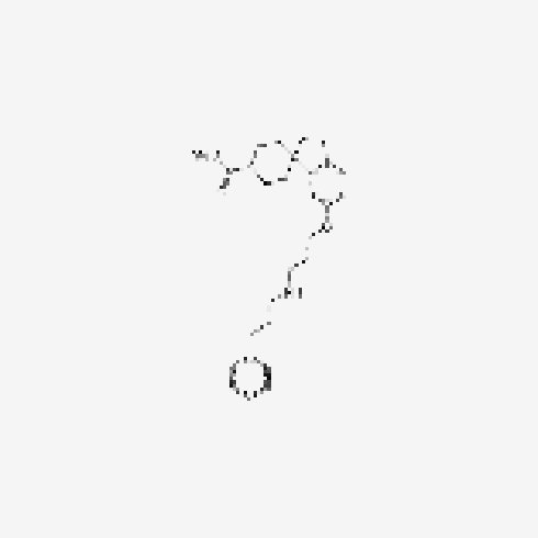 COC(=O)C1CCC2(CCc3ccc(OCCCNCCCc4ccccc4)cc32)CC1